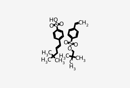 C=Cc1ccc(S(=O)(=O)OCC(C)(C)C)cc1.CC(C)(C)CC=Cc1ccc(S(=O)(=O)O)cc1